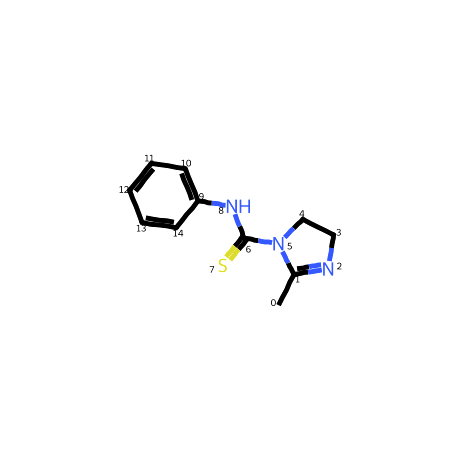 CC1=NCCN1C(=S)Nc1ccccc1